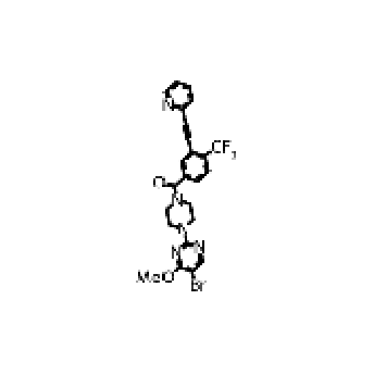 COc1nc(N2CCN(C(=O)c3ccc(C(F)(F)F)c(C#Cc4ccccn4)c3)CC2)ncc1Br